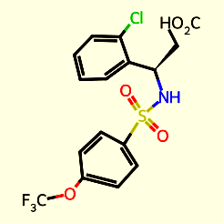 O=C(O)C[C@@H](NS(=O)(=O)c1ccc(OC(F)(F)F)cc1)c1ccccc1Cl